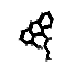 CC(=O)OCC[AsH]c1c2ccccc2nc2cccc([N+](=O)[O-])c12